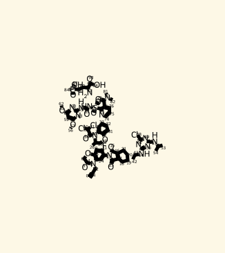 C#CCN1C(=O)COc2cc(F)c(N3C(=O)C4=C(CCCC4)C3=O)cc21.CC1COc2ccccc2N1C(=O)C(Cl)Cl.CCNc1nc(Cl)nc(NC(C)C)n1.COc1cc(OC)nc(NC(=O)NS(=O)(=O)c2ncccc2C(=O)N(C)C)n1.CP(=O)(O)CCC(N)C(=O)O